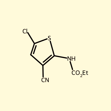 CCOC(=O)Nc1sc(Cl)cc1C#N